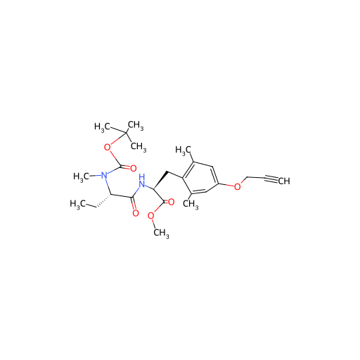 C#CCOc1cc(C)c(C[C@H](NC(=O)[C@H](CC)N(C)C(=O)OC(C)(C)C)C(=O)OC)c(C)c1